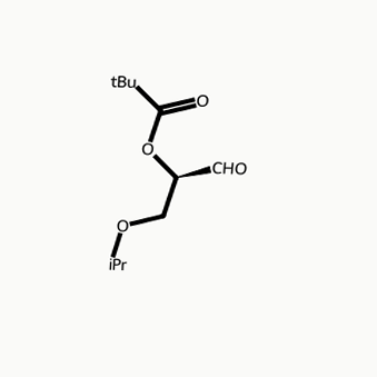 CC(C)OC[C@H](C=O)OC(=O)C(C)(C)C